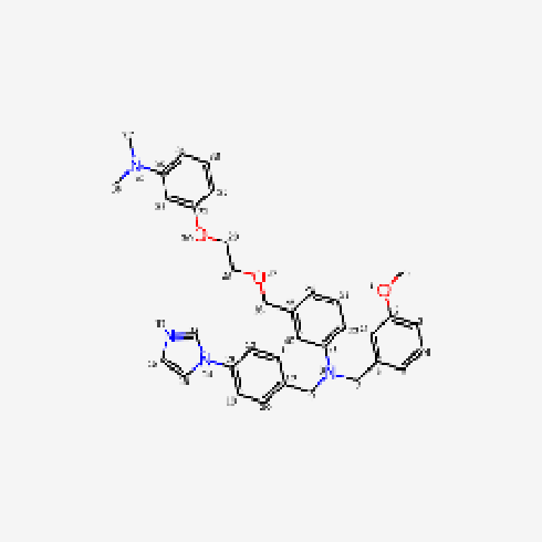 COc1cccc(CN(Cc2ccc(-n3ccnc3)cc2)c2cccc(COCCOc3cccc(N(C)C)c3)c2)c1